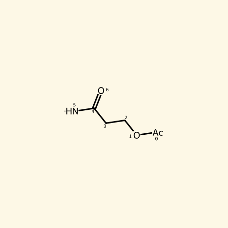 CC(=O)OCCC([NH])=O